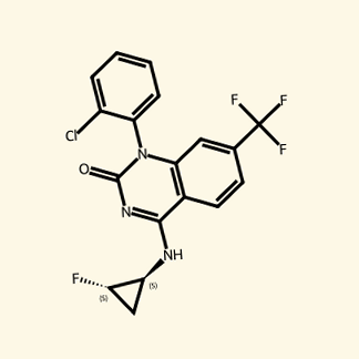 O=c1nc(N[C@H]2C[C@@H]2F)c2ccc(C(F)(F)F)cc2n1-c1ccccc1Cl